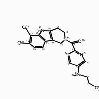 CN(CCO)c1cnc(C(=O)N2CCc3[nH]c4c(Cl)c(Cl)ccc4c3C2)nc1